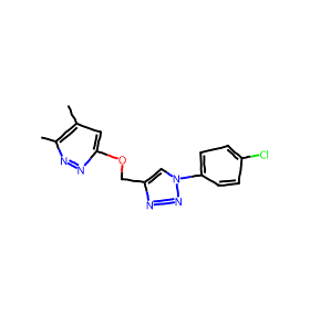 Cc1cc(OCc2cn(-c3ccc(Cl)cc3)nn2)nnc1C